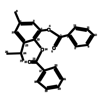 Cc1cc(OC(=O)c2ccccc2)c(OC(=O)c2ccccc2)c(C(C)C)c1